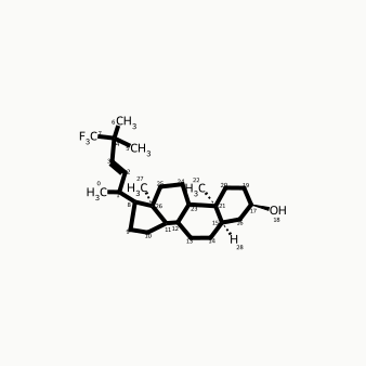 CC(/C=C/C(C)(C)C(F)(F)F)C1CCC2C3CC[C@@H]4C[C@H](O)CC[C@]4(C)C3CC[C@]12C